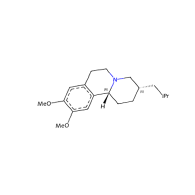 COc1cc2c(cc1OC)[C@H]1CC[C@@H](CC(C)C)CN1CC2